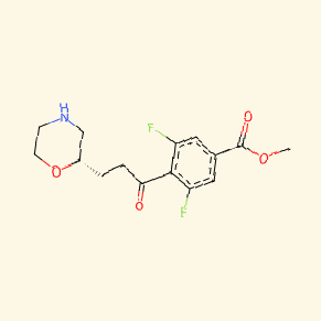 COC(=O)c1cc(F)c(C(=O)CC[C@H]2CNCCO2)c(F)c1